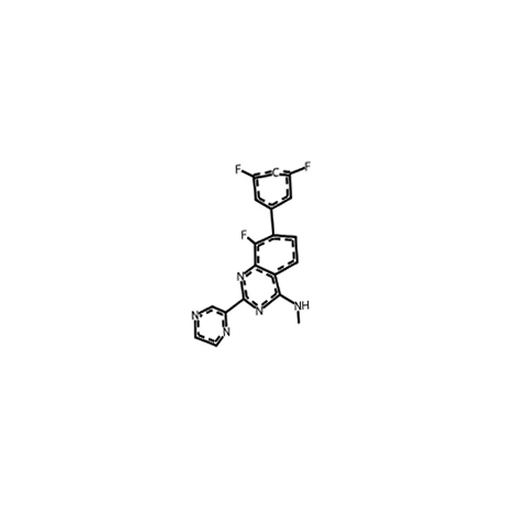 CNc1nc(-c2cnccn2)nc2c(F)c(-c3cc(F)cc(F)c3)ccc12